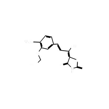 COc1ccc(/C=C/C(C)=C2/SC(=S)NC2=O)cc1OCC(=O)O